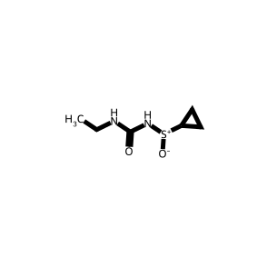 CCNC(=O)N[S+]([O-])C1CC1